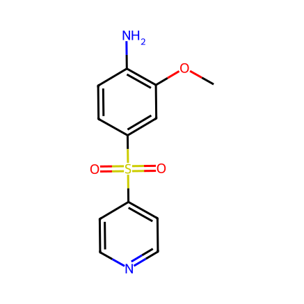 COc1cc(S(=O)(=O)c2ccncc2)ccc1N